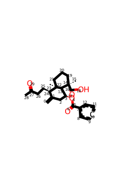 C=C1C[C@@H](OC(=O)c2ccccc2)C2[C@](C)(C(=O)O)CCC[C@]2(C)[C@@H]1CCC(C)=O